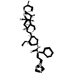 CC[C@@H]1C[C@H](NC(=O)N(CCn2cncn2)C2CCCCC2)CC[C@]1(C)[C@H]1CC[C@@]2(C)[C@H](C1)C[C@@H]1O[C@]3(CC[C@H](C)CO3)[C@@H](C)[C@@H]12